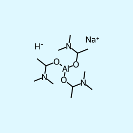 CC([O][Al]([O]C(C)N(C)C)[O]C(C)N(C)C)N(C)C.[H-].[Na+]